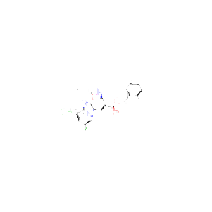 COc1nc2c(Cl)cc(Cl)cn2c1C=C(C#N)C(=O)OCc1ccccc1